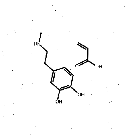 C=CC(=O)O.CNCCc1ccc(O)c(O)c1